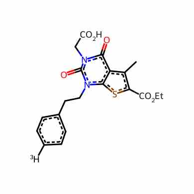 [3H]c1ccc(CCn2c(=O)n(CC(=O)O)c(=O)c3c(C)c(C(=O)OCC)sc32)cc1